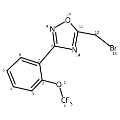 FC(F)(F)Oc1ccccc1-c1noc(CBr)n1